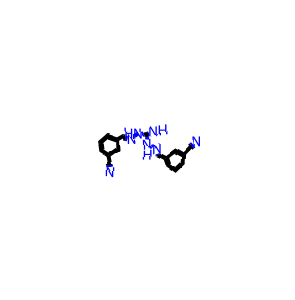 N#Cc1cccc(/C=N/NC(=N)N/N=C/c2cccc(C#N)c2)c1